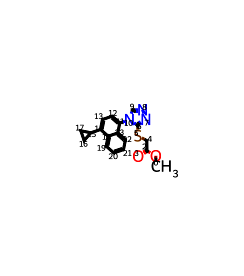 COC(=O)CSc1nncn1-c1ccc(C2CC2)c2ccccc12